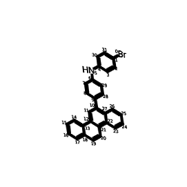 Brc1ccc(Nc2ccc(-c3cc4c5ccccc5ccc4c4ccccc34)cc2)cc1